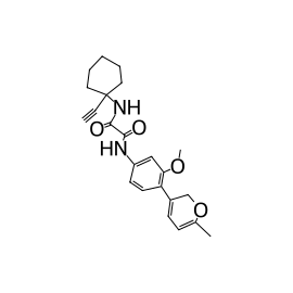 C#CC1(NC(=O)C(=O)Nc2ccc(C3=CC=C(C)OC3)c(OC)c2)CCCCC1